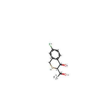 O=C1c2ccc(F)cc2CSC1C(=O)C(F)(F)F